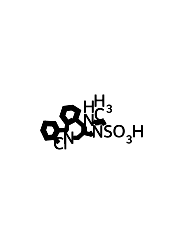 CC1(CS(=O)(=O)O)N=CC2=C(N1)c1ccccc1C(c1ccccc1Cl)=NC2